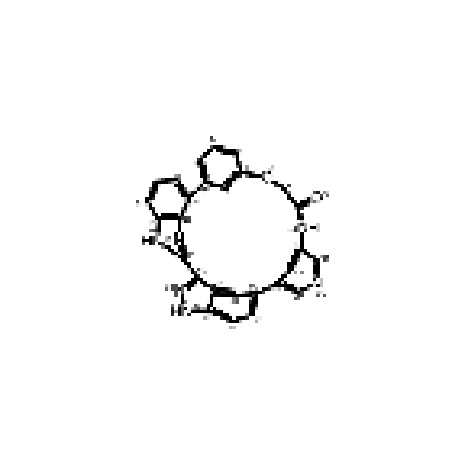 O=C1COc2cccc(c2)-c2cccc3[nH]c(nc23)-c2n[nH]c3ccc(cc23)-c2cncc(c2)N1